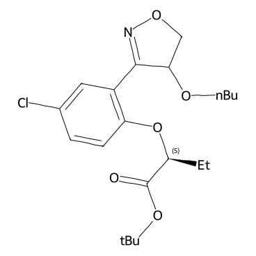 CCCCOC1CON=C1c1cc(Cl)ccc1O[C@@H](CC)C(=O)OC(C)(C)C